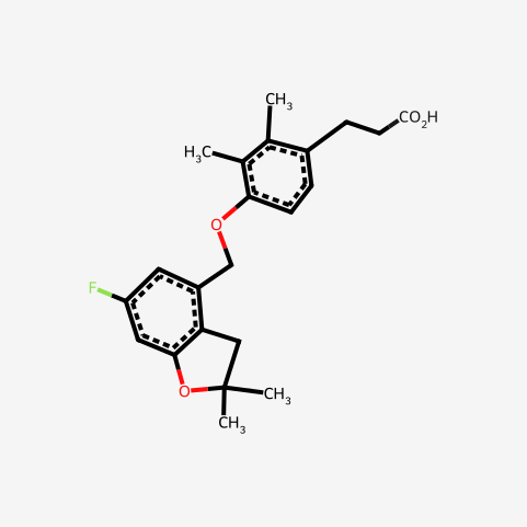 Cc1c(CCC(=O)O)ccc(OCc2cc(F)cc3c2CC(C)(C)O3)c1C